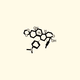 CC#C[C@@]1(O)OCC[C@H]2[C@@H]3CC[C@@]4(O)CC5(CCC4=C3[C@@H](c3ccc(N(C)C)cc3)C[C@@]21C)OCCO5